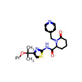 CC(C)OC(C)(C)c1csc(NC(=O)C2CCCC(=O)N2Cc2ccncc2)n1